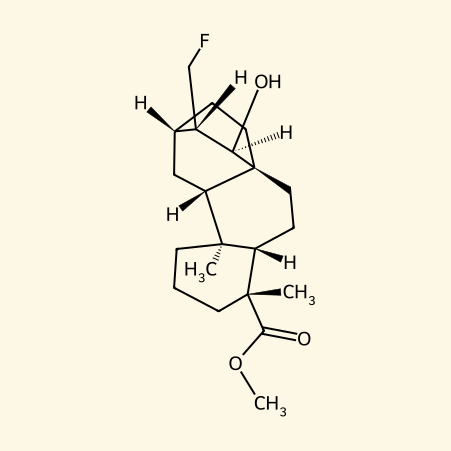 COC(=O)[C@]1(C)CCC[C@@]2(C)[C@@H]3C[C@@H]4CC[C@@]3(CC[C@@H]21)[C@H](O)[C@H]4CF